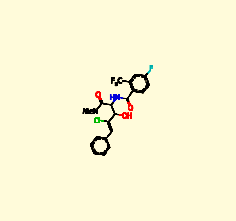 CNC(=O)C(NC(=O)c1ccc(F)cc1C(F)(F)F)C(O)C(Cl)=Cc1ccccc1